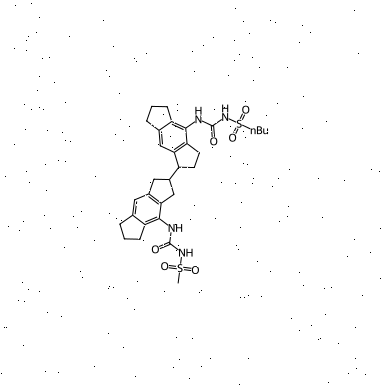 CCCCS(=O)(=O)NC(=O)Nc1c2c(cc3c1CCC3C1Cc3cc4c(c(NC(=O)NS(C)(=O)=O)c3C1)CCC4)CCC2